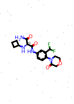 NC(=O)[C@H](NC1CCC1)C(=O)Nc1ccc(N2CCOCC2=O)c(C(F)F)c1